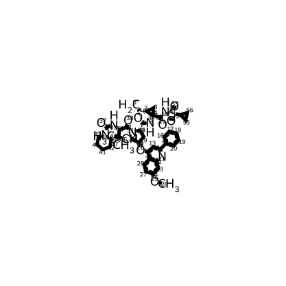 C=C[C@@H]1C[C@]1(NC(=O)[C@@H]1C[C@@H](Oc2cc(-c3ccccc3)nc3cc(OC)ccc23)CN1C(=O)[C@@H](NC(=O)N1CCCCC1)C(C)(C)C)C(=O)NS(=O)(=O)C1CC1